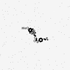 COc1cc(C)c(S(=O)(=O)N(C)CCOCC(=O)N(C)[C@H]2CC[C@@H](CCN(C)C)CC2)c(C)c1